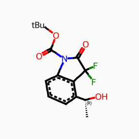 C[C@@H](O)c1cccc2c1C(F)(F)C(=O)N2C(=O)OC(C)(C)C